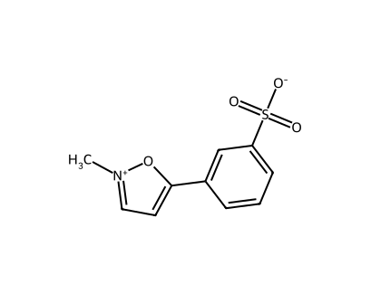 C[n+]1ccc(-c2cccc(S(=O)(=O)[O-])c2)o1